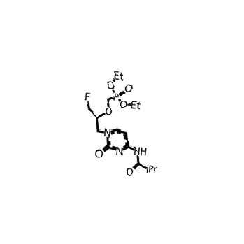 CCOP(=O)(CO[C@H](CF)Cn1ccc(NC(=O)C(C)C)nc1=O)OCC